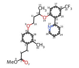 COC(=O)CCc1ccc(OCCC(C)Oc2ccc(C(F)(F)F)cc2-c2ccccn2)cc1C